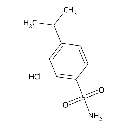 CC(C)c1ccc(S(N)(=O)=O)cc1.Cl